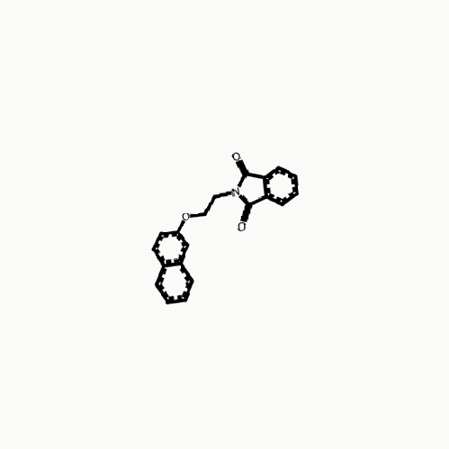 O=C1c2ccccc2C(=O)N1CCOc1ccc2ccccc2c1